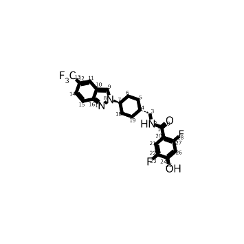 O=C(NC[C@H]1CC[C@H](n2cc3cc(C(F)(F)F)ccc3n2)CC1)c1cc(F)c(O)cc1F